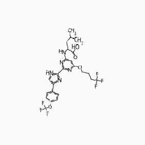 CC(C)CC(Nc1cc(OCCCC(F)(F)F)nc(-c2nc(-c3ccc(OC(F)(F)F)cc3)c[nH]2)n1)C(=O)O